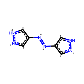 c1n[nH]cc1N=Nc1cn[nH]c1